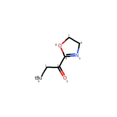 CC(C)(C)CC(=O)C1=NCCO1